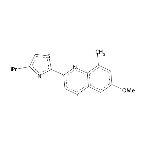 COc1cc(C)c2nc(-c3nc(C(C)C)cs3)c[c]c2c1